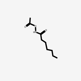 CCCCCCC(=O)NOC(C)=O